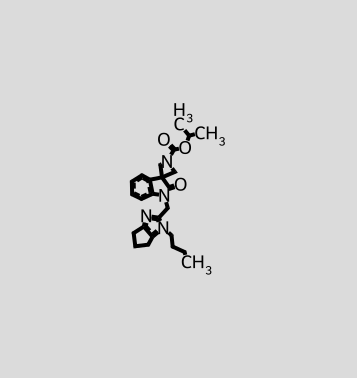 CCCCn1c(CN2C(=O)C3(CN(C(=O)OC(C)C)C3)c3ccccc32)nc2c1CCC2